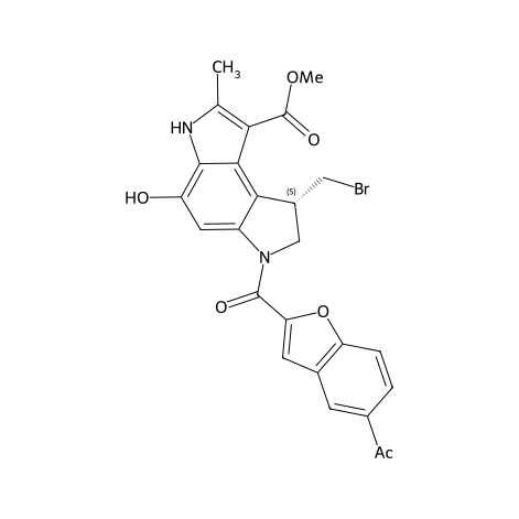 COC(=O)c1c(C)[nH]c2c(O)cc3c(c12)[C@H](CBr)CN3C(=O)c1cc2cc(C(C)=O)ccc2o1